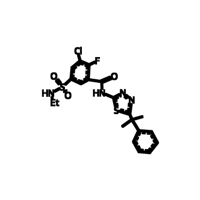 CCNS(=O)(=O)c1cc(Cl)c(F)c(C(=O)Nc2nnc(C(C)(C)c3ccccc3)s2)c1